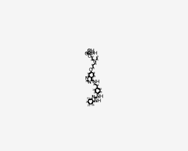 CCN(CCCOc1ccc2c(NCCc3ccc(Nc4nc5ccccc5[nH]4)cc3)ncnc2c1)CCOP(=O)(O)O